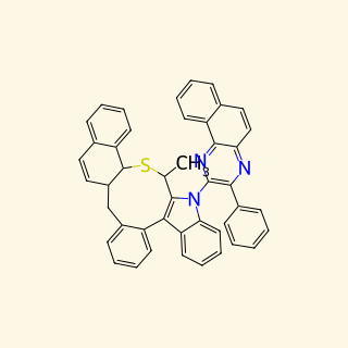 CC1SC2c3ccccc3C=CC2Cc2ccccc2-c2c1n(-c1nc3c(ccc4ccccc43)nc1-c1ccccc1)c1ccccc21